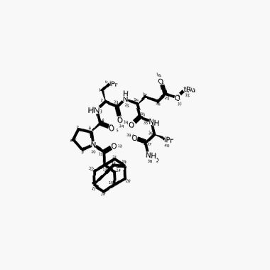 CC(C)C[C@H](NC(=O)[C@@H]1CCCN1C(=O)C12CC3CC(CC(C3)C1)C2)C(=O)N[C@@H](CCC(=O)OC(C)(C)C)C(=O)N[C@H](C(N)=O)C(C)C